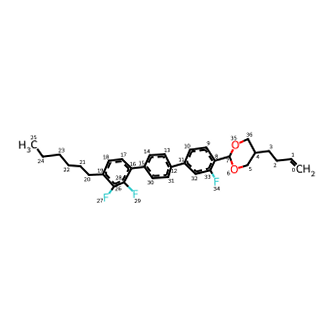 C=CCCC1COC(c2ccc(-c3ccc(-c4ccc(CCCCCC)c(F)c4F)cc3)cc2F)OC1